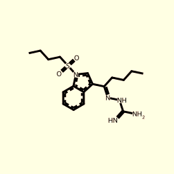 CCCCC(=NNC(=N)N)c1cn(S(=O)(=O)CCCC)c2ccccc12